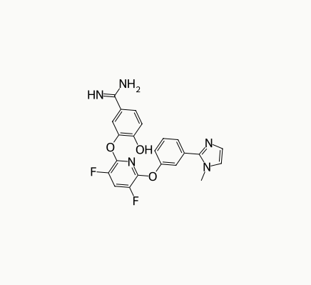 Cn1ccnc1-c1cccc(Oc2nc(Oc3cc(C(=N)N)ccc3O)c(F)cc2F)c1